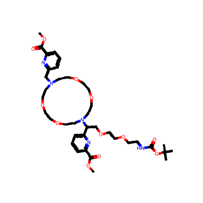 COC(=O)c1cccc(CN2CCOCCOCCN(C(COCCOCCNC(=O)OC(C)(C)C)c3cccc(C(=O)OC)n3)CCOCCOCC2)n1